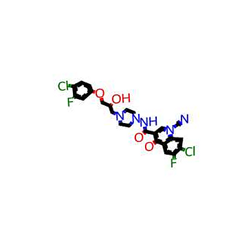 N#Cn1cc(C(=O)NN2CCN(CC(O)COc3ccc(Cl)c(F)c3)CC2)c(=O)c2cc(F)c(Cl)cc21